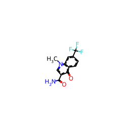 Cn1cc(C(N)=O)c(=O)c2ccc(C(F)(F)F)cc21